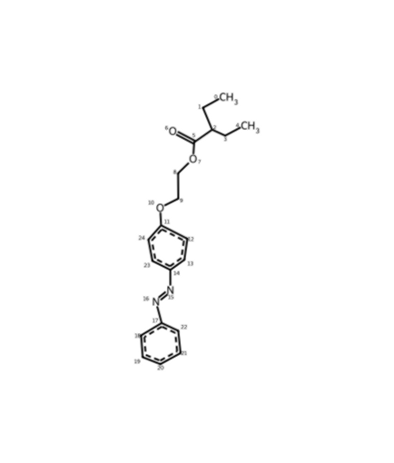 CCC(CC)C(=O)OCCOc1ccc(/N=N/c2ccccc2)cc1